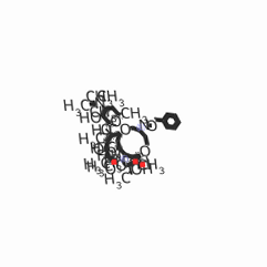 CC[C@H]1OC(=O)[C@@](C)(F)C(=O)[C@H](C)[C@@H](O[C@@H]2O[C@H](C)C[C@H](N(C)C(C)(C)C)[C@H]2O)[C@@]2(C)C[C@@H](C)/C(=N\C(C)=O)[C@H](C)[C@@H](OCC/C(=N\OCc3ccccc3)CO2)[C@]1(C)O